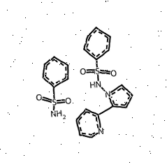 NS(=O)(=O)c1ccccc1.O=S(=O)(Nn1cccc1-c1ccccn1)c1ccccc1